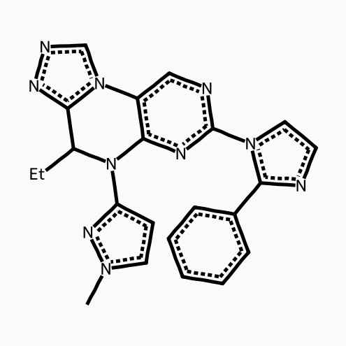 CCC1c2nncn2-c2cnc(-n3ccnc3-c3ccccc3)nc2N1c1ccn(C)n1